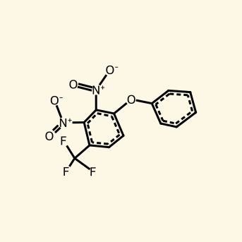 O=[N+]([O-])c1c(Oc2ccccc2)ccc(C(F)(F)F)c1[N+](=O)[O-]